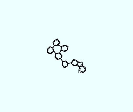 c1cc(-c2ccc3c(c2)-c2ccccc2-c2ccccc2-c2ccccc2-3)cc(-c2ccc3sc4cccnc4c3c2)c1